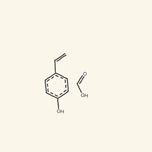 C=Cc1ccc(O)cc1.O=CO